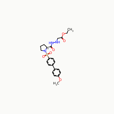 CCOC(=O)CNNC(=O)[C@@H]1CCCN1S(=O)(=O)c1ccc(-c2ccc(OC)cc2)cc1